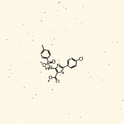 COC(=O)c1sc(-c2ccc(Cl)cc2)nc1NP(=O)(OC)c1ccc(C)cc1